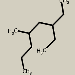 [CH2]CC(CC)CC(C)CCC